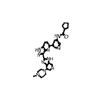 CN1CCN(c2cncc3[nH]c(-c4n[nH]c5ccc(-c6cncc(NC(=O)C7CCCC7)c6)nc45)nc23)CC1